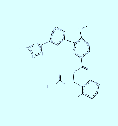 COc1ccc(C(=O)N[C@@H](CC(=O)O)c2ccccc2F)nc1-c1cccc(-c2nnc(C)o2)c1